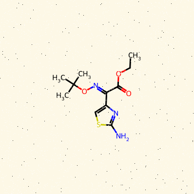 CCOC(=O)/C(=N/OC(C)(C)C)c1csc(N)n1